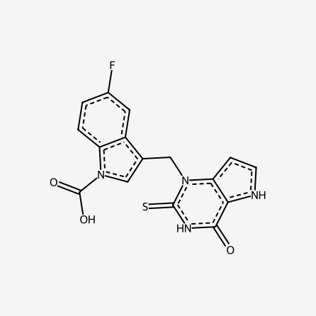 O=C(O)n1cc(Cn2c(=S)[nH]c(=O)c3[nH]ccc32)c2cc(F)ccc21